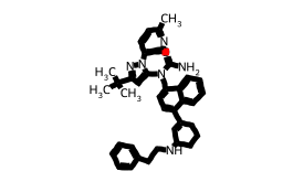 Cc1ccc(-n2nc(C(C)(C)C)cc2N(C(N)=O)c2ccc(C3=CC(NCCc4ccccc4)CCC3)c3ccccc23)cn1